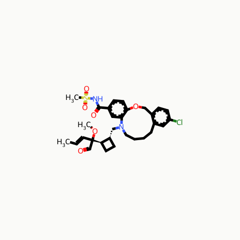 C/C=C/C(C=O)(OC)[C@@H]1CC[C@H]1CN1CCCCc2cc(Cl)ccc2COc2ccc(C(=O)NS(C)(=O)=O)cc21